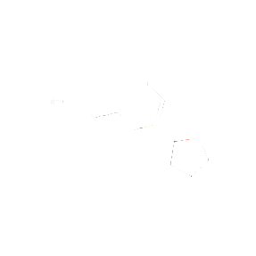 CCC=S(CCCCCCCCCC)C1CCCO1